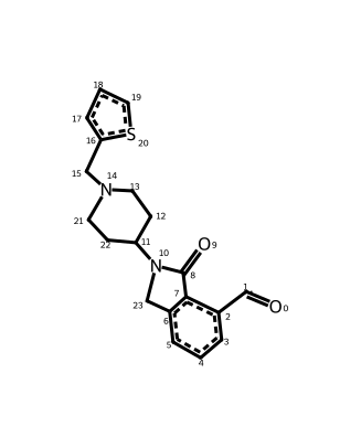 O=[C]c1cccc2c1C(=O)N(C1CCN(Cc3cccs3)CC1)C2